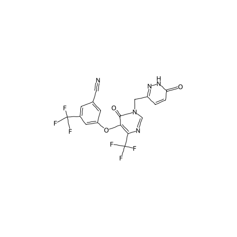 N#Cc1cc(Oc2c(C(F)(F)F)ncn(Cc3ccc(=O)[nH]n3)c2=O)cc(C(F)(F)F)c1